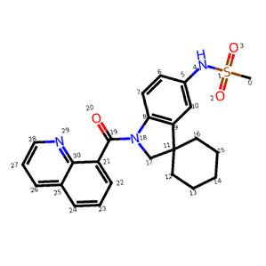 CS(=O)(=O)Nc1ccc2c(c1)C1(CCCCC1)CN2C(=O)c1cccc2cccnc12